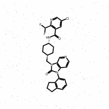 O=C(N[C@H]1CC[C@H](Cn2c(=O)n(-c3cccc4c3CCC4)c3ccncc32)CC1)c1cc(Cl)cnc1C(F)F